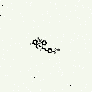 CC(C)(C)OC(=O)N1CCC(CCC(=O)N(c2nccs2)c2ccccc2OS(=O)(=O)c2ccc(F)cc2)CC1